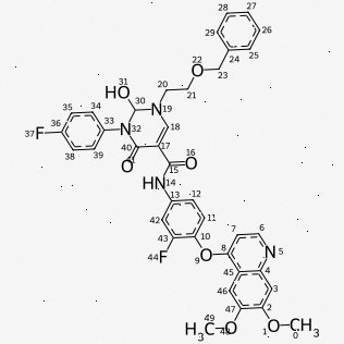 COc1cc2nccc(Oc3ccc(NC(=O)C4=CN(CCOCc5ccccc5)C(O)N(c5ccc(F)cc5)C4=O)cc3F)c2cc1OC